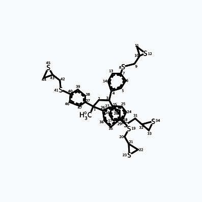 CC(CC(c1ccc(SCC2CS2)cc1)c1ccc(SCC2CS2)cc1)(c1ccc(SCC2CS2)cc1)c1ccc(SCC2CS2)cc1